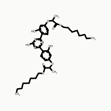 CCCCCCCCOC(=O)C(C)Oc1ccc(-c2nc(O)nc(-c3ccc(OC(C)C(=O)OCCCCCCCC)cc3O)n2)c(O)c1